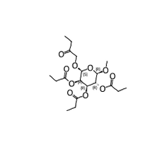 CCC(=O)CO[C@H]1O[C@@H](OC)[C@H](OC(=O)CC)[C@@H](OC(=O)CC)[C@H]1OC(=O)CC